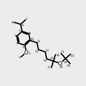 COc1ccc(C(C)C)cc1CCCCC(C)(C)OC(C)(C)C